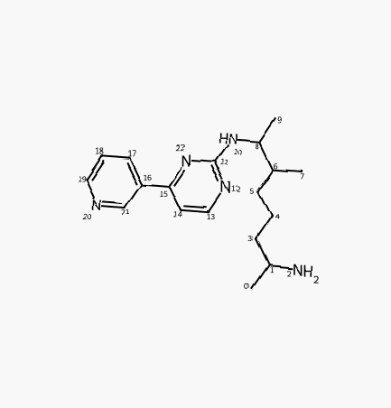 CC(N)CCCC(C)C(C)Nc1nccc(-c2cccnc2)n1